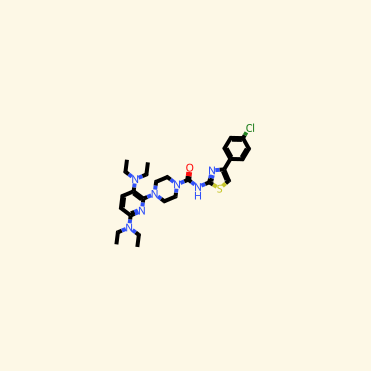 CCN(CC)c1ccc(N(CC)CC)c(N2CCN(C(=O)Nc3nc(-c4ccc(Cl)cc4)cs3)CC2)n1